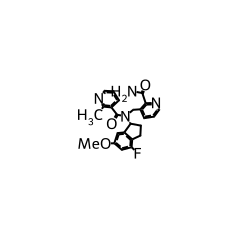 COc1cc(F)c2c(c1)[C@H](N(Cc1cccnc1C(N)=O)C(=O)c1cccnc1C)CC2